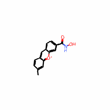 Cc1ccc2cc3ccc(C(=O)NO)cc3[o+]c2c1